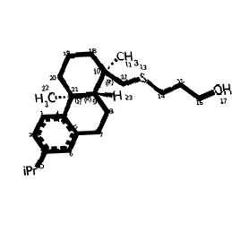 CC(C)c1ccc2c(c1)CC[C@H]1[C@](C)(CSCCCO)CCC[C@]21C